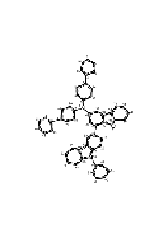 c1ccc(-c2ccc(N(c3ccc(-c4ccccc4)cc3)c3cc(-c4ccc5c(c4)c4ccccc4n5-c4ccccc4)c4oc5ccccc5c4c3)cc2)cc1